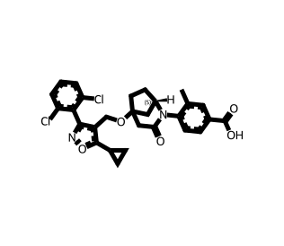 Cc1cc(C(=O)O)ccc1N1C(=O)CC2(OCc3c(-c4c(Cl)cccc4Cl)noc3C3CC3)CC[C@H]1C2